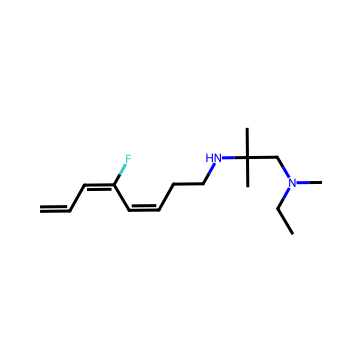 C=C/C=C(F)\C=C/CCNC(C)(C)CN(C)CC